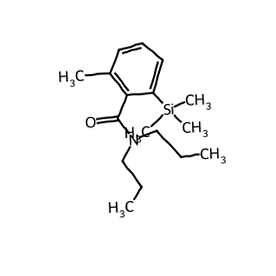 CCCN(CCC)C(=O)c1c(C)cccc1[Si](C)(C)C